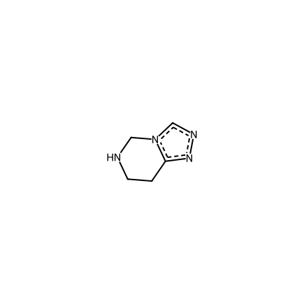 c1nnc2n1CNCC2